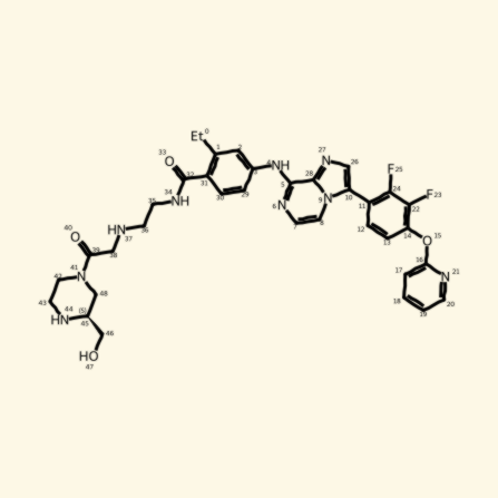 CCc1cc(Nc2nccn3c(-c4ccc(Oc5ccccn5)c(F)c4F)cnc23)ccc1C(=O)NCCNCC(=O)N1CCN[C@H](CO)C1